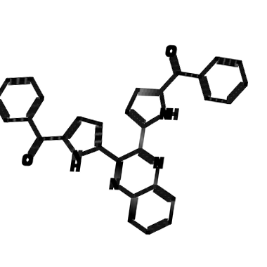 O=C(c1ccccc1)c1ccc(-c2nc3ccccc3nc2-c2ccc(C(=O)c3ccccc3)[nH]2)[nH]1